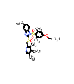 COc1ccc2c(c1)nc([S+]([O-])Cc1ncc(C)c(OC)c1C)n2S(=O)(=O)c1c(C)cc(OCC(=O)O)cc1C.[Na]